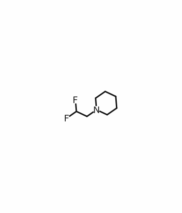 FC(F)CN1CCCCC1